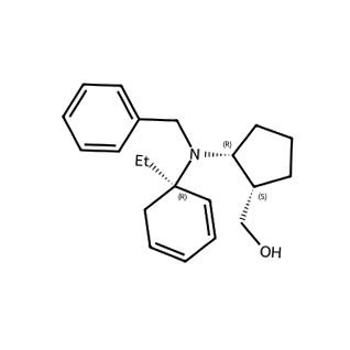 CC[C@]1(N(Cc2ccccc2)[C@@H]2CCC[C@@H]2CO)C=CC=CC1